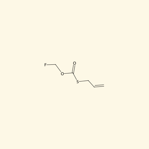 C=CCSC(=O)OCF